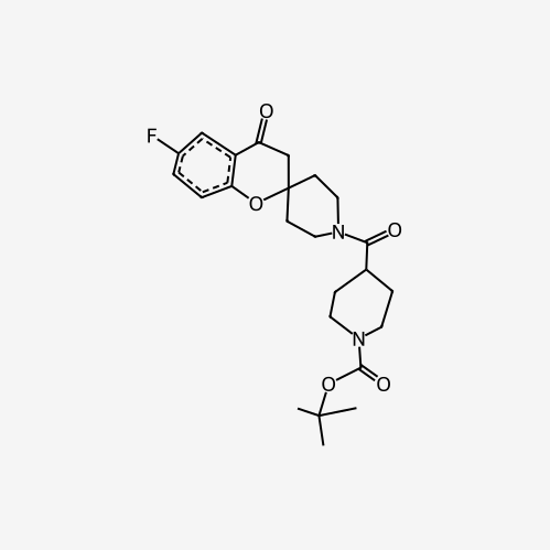 CC(C)(C)OC(=O)N1CCC(C(=O)N2CCC3(CC2)CC(=O)c2cc(F)ccc2O3)CC1